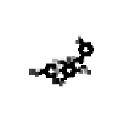 Cc1cc(C)c(N2CCC(C)CC2)c(C)c1NC(=O)c1cccc(Cl)c1